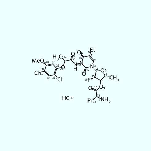 CCc1cn([C@@H]2O[C@H](C)[C@@H](OC(=O)[C@@H](N)C(C)C)[C@H]2F)c(=O)n(NC(=O)C(C)Oc2cc(OC)c(Cl)cc2Cl)c1=O.Cl